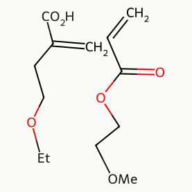 C=C(CCOCC)C(=O)O.C=CC(=O)OCCOC